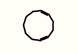 [C]1=CCCC=CCCCCC1